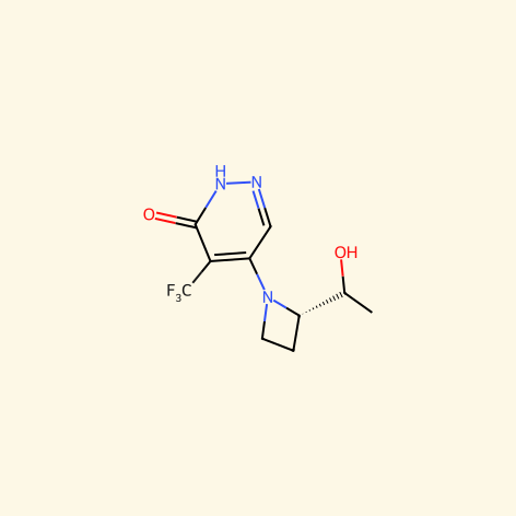 CC(O)[C@@H]1CCN1c1cn[nH]c(=O)c1C(F)(F)F